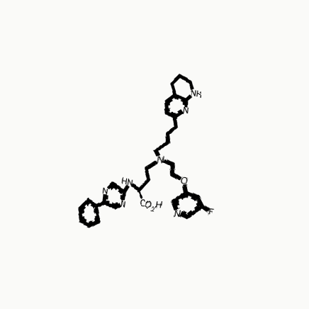 O=C(O)[C@H](CCN(CCCCc1ccc2c(n1)NCCC2)CCOc1cncc(F)c1)Nc1cnc(-c2ccccc2)cn1